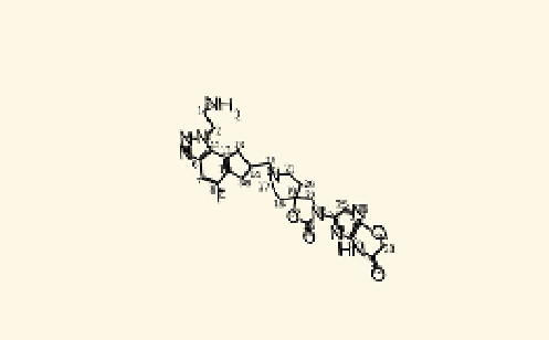 NCCn1nnc2cc(F)c3c(c21)CC(CN1CCC2(CC1)CN(c1cnc4c(n1)NC(=O)CO4)C(=O)O2)C3